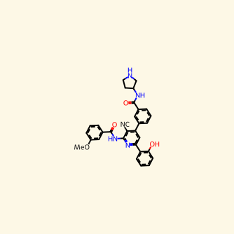 COc1cccc(C(=O)Nc2nc(-c3ccccc3O)cc(-c3cccc(C(=O)NC4CCNC4)c3)c2C#N)c1